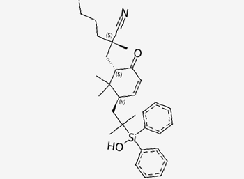 CCCC[C@](C)(C#N)C[C@@H]1C(=O)C=C[C@@H](CC(C)(C)[Si](O)(c2ccccc2)c2ccccc2)C1(C)C